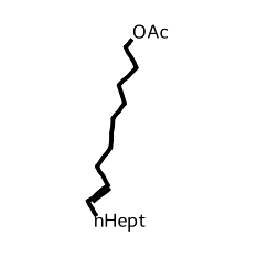 CCCCCCCC=CCCCCCCCOC(C)=O